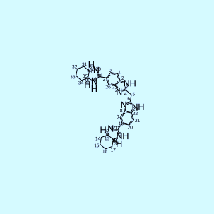 c1cc2[nH]c(Cc3nc4cc(C5=N[C@@H]6CCCC[C@H]6N5)ccc4[nH]3)nc2cc1C1=N[C@@H]2CCCC[C@H]2N1